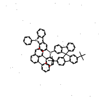 CC(C)(C)c1ccc2c(c1)C1(c3ccccc3-c3ccc(N(c4ccc5c(c4)c4ccccc4n5-c4ccccc4)c4ccccc4-c4cccc5cccc(-c6ccccc6)c45)cc31)c1cc(C(C)(C)C)ccc1-2